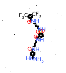 N=C(N)c1ccc(C(=O)NCCCCCNC(=O)c2cccc(S(=O)(=O)NCCCCCNC(=O)c3cc(C(F)(F)F)cc(C(F)(F)F)c3)c2)cc1